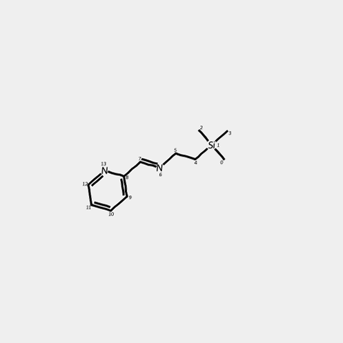 C[Si](C)(C)CCN=Cc1ccccn1